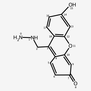 NNCc1c2ccc(=O)cc-2oc2cc(O)ccc12